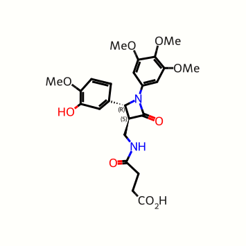 COc1ccc([C@H]2[C@H](CNC(=O)CCC(=O)O)C(=O)N2c2cc(OC)c(OC)c(OC)c2)cc1O